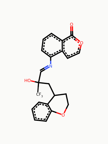 O=c1occc2c(N=CC(O)(CC3CCOc4ccccc43)C(F)(F)F)cccc12